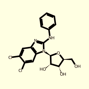 OC[C@@H]1O[C@H](n2c(Nc3ccccc3)nc3cc(Cl)c(Cl)cc32)[C@@H](O)[C@H]1O